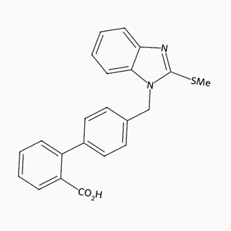 CSc1nc2ccccc2n1Cc1ccc(-c2ccccc2C(=O)O)cc1